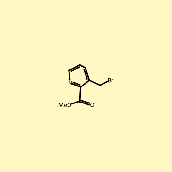 COC(=O)c1ncccc1CBr